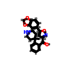 CC1(c2ccccc2C(=O)c2cc(-c3ccc4c(c3)OCO4)on2)CCNCC1